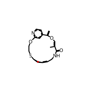 C=C1O/C=C(\C)C(=O)NCC=C2CC(C2)SCCOc2cc1ccn2